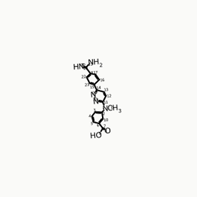 CN(c1cccc(C(=O)O)c1)c1ccc(-c2ccc(C(=N)N)cc2)nn1